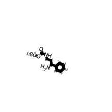 CCCCOC(=O)NCCC(N)c1ccccc1